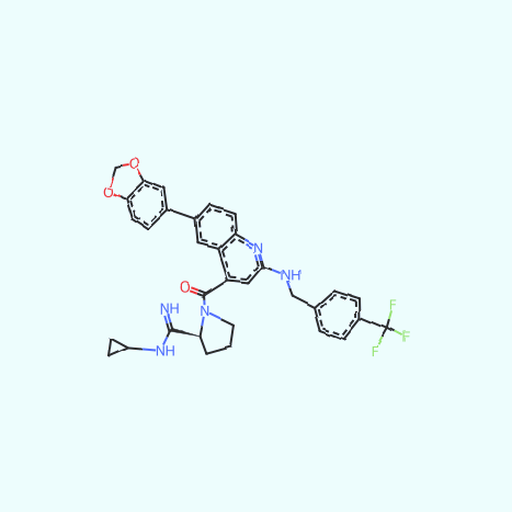 N=C(NC1CC1)[C@@H]1CCCN1C(=O)c1cc(NCc2ccc(C(F)(F)F)cc2)nc2ccc(-c3ccc4c(c3)OCO4)cc12